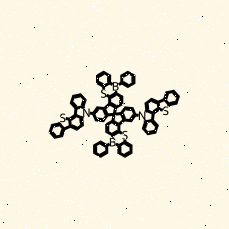 c1ccc(B2c3ccccc3Sc3c2ccc2c3-c3cc(-n4c5ccccc5c5c6sc7ccccc7c6ccc54)ccc3C23c2ccc(-n4c5ccccc5c5c6sc7ccccc7c6ccc54)cc2-c2c3ccc3c2Sc2ccccc2B3c2ccccc2)cc1